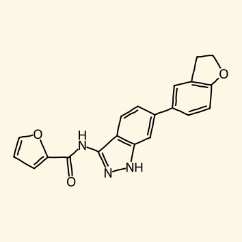 O=C(Nc1n[nH]c2cc(-c3ccc4c(c3)CCO4)ccc12)c1ccco1